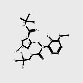 COc1cccc(N(C[C@@H]2C[C@@H](F)CN2C(=O)OC(C)(C)C)C(=O)OCC(Cl)(Cl)Cl)c1F